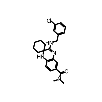 CN(C)C(=O)c1ccc2c(c1)N=C(NCc1cccc(Cl)c1)C1(CCCCC1)N2